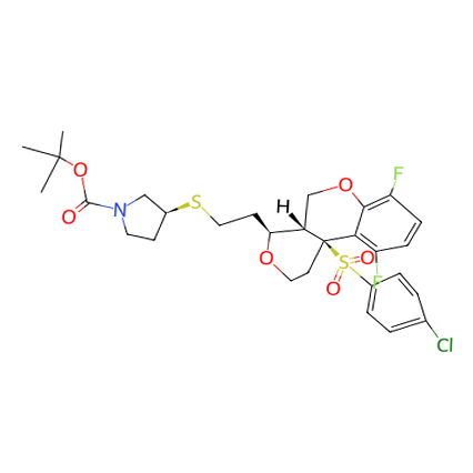 CC(C)(C)OC(=O)N1CC[C@H](SCC[C@@H]2OCC[C@@]3(S(=O)(=O)c4ccc(Cl)cc4)c4c(F)ccc(F)c4OC[C@@H]23)C1